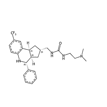 CN(C)CCNC(=O)NC[C@@H]1C[C@@H]2[C@H](C1)c1cc(C(F)(F)F)ccc1N[C@H]2c1ccccc1